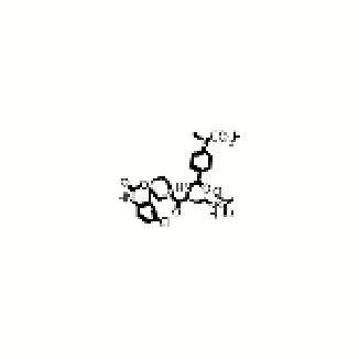 CN(C(=O)O)c1ccc(C(=O)N[C@@H](CCNS(C)(=O)=O)C(=O)N2CCC[C@@]3(C2)OC(=O)Nc2ccc(Cl)cc23)cc1